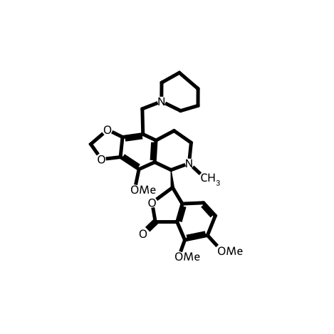 COc1ccc2c(c1OC)C(=O)OC2[C@H]1c2c(c(CN3CCCCC3)c3c(c2OC)OCO3)CCN1C